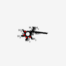 CCCCCCCCCCCCC[C@@H](O)CC(=O)NCC(=O)N[C@@H](CCCN=C(N)N)C(=O)N[C@@H]1CCCCNC(=O)[C@H](CCCCN)NC(=O)[C@@H](CCCCN)NC(=O)[C@@H](CCCCN)NC(=O)[C@H](CCCCN)NC1=O